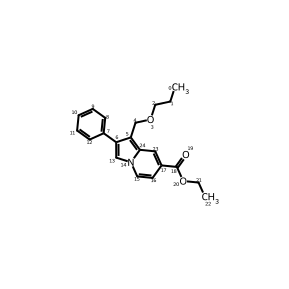 CCCOCc1c(-c2ccccc2)cn2ccc(C(=O)OCC)cc12